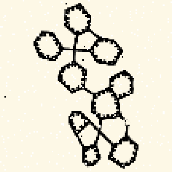 c1ccc(C2(c3cccc(-c4cc5c(c6ccccc46)Oc4ccccc4C54c5ccccc5-c5ccccc54)c3)c3ccccc3-c3ccccc32)cc1